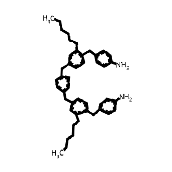 CCCCCCc1cc(Cc2ccc(Cc3ccc(Cc4ccc(N)cc4)c(CCCCCC)c3)cc2)ccc1Cc1ccc(N)cc1